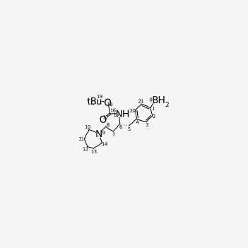 Bc1ccc(C[C@H](CCN2CCCCC2)NC(=O)OC(C)(C)C)cc1